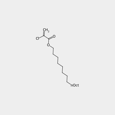 C=C(Cl)C(=O)OCCCCCCCCCCCCCCCC